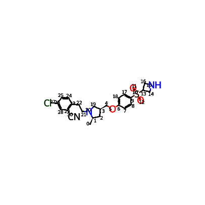 C[C@@H]1C[C@H](COc2ccc(S(=O)(=O)C3CNC3)cc2)CN1CCc1ccc(Cl)cc1C#N